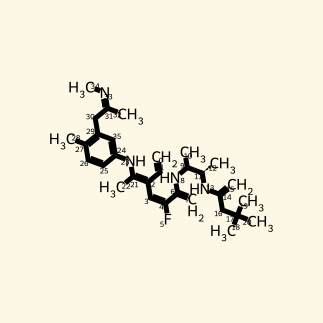 C=CC(/C=C(/F)C(=C)NC(C)[C@H](C)NC(=C)CC(C)(C)C)=C(/C)Nc1ccc(C)c(C/C(C)=N\C)c1